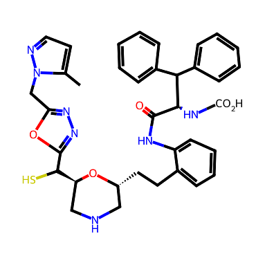 Cc1ccnn1Cc1nnc(C(S)[C@@H]2CNC[C@@H](CCc3ccccc3NC(=O)[C@@H](NC(=O)O)C(c3ccccc3)c3ccccc3)O2)o1